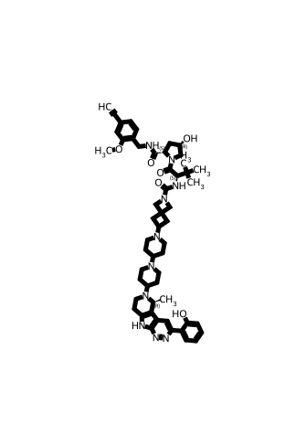 C#Cc1ccc(CNC(=O)[C@@H]2C[C@@H](O)CN2C(=O)[C@@H](NC(=O)N2CC3(CC(N4CCC(N5CCC(N6CCc7[nH]c8nnc(-c9ccccc9O)cc8c7[C@H]6C)CC5)CC4)C3)C2)C(C)(C)C)c(OC)c1